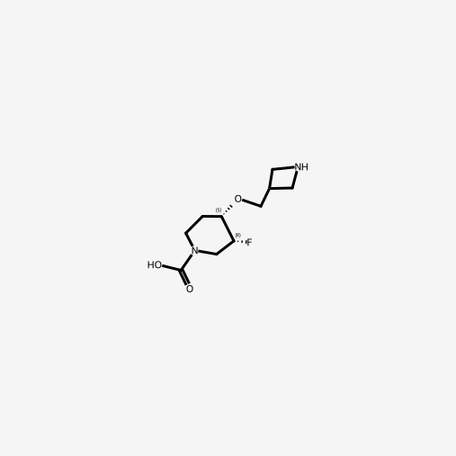 O=C(O)N1CC[C@H](OCC2CNC2)[C@H](F)C1